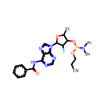 CCC1OC(n2cnc3c(NC(=O)c4ccccc4)ncnc32)C(F)C1OP(OCCC#N)N(C(C)C)C(C)C